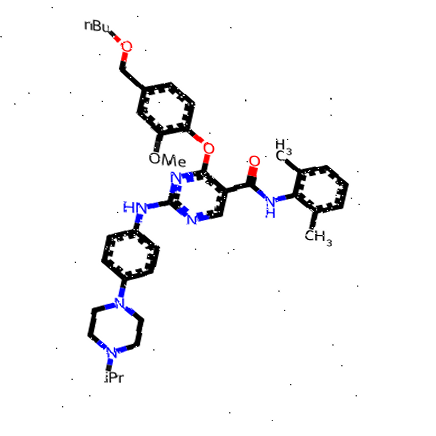 CCCCOCc1ccc(Oc2nc(Nc3ccc(N4CCN(C(C)C)CC4)cc3)ncc2C(=O)Nc2c(C)cccc2C)c(OC)c1